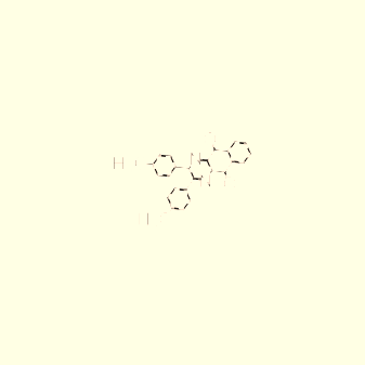 Cc1ccc(-c2nc3c(nc2-c2ccc(C)cc2)C(=O)c2ccccc2C3=O)cc1